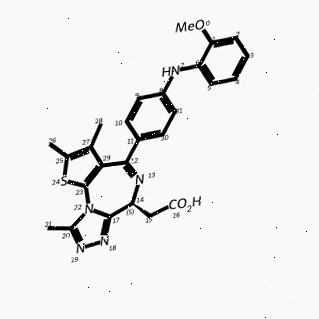 COc1ccccc1Nc1ccc(C2=N[C@@H](CC(=O)O)c3nnc(C)n3-c3sc(C)c(C)c32)cc1